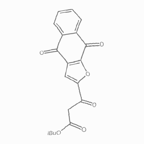 CC(C)COC(=O)CC(=O)c1cc2c(o1)C(=O)c1ccccc1C2=O